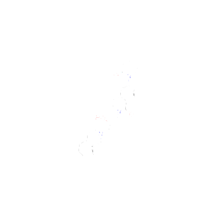 O=C1c2ccc(N3CCCCC3=O)cc2CCN1C[C@H](O)CN1CCc2ccccc2C1